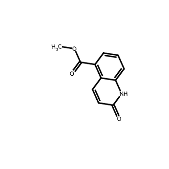 COC(=O)c1cccc2[nH]c(=O)ccc12